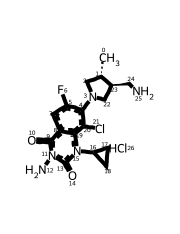 C[C@H]1CN(c2c(F)cc3c(=O)n(N)c(=O)n(C4CC4)c3c2Cl)C[C@@H]1CN.Cl